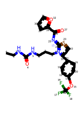 CCNC(=O)NCCCn1c(-c2ccc(OC(F)(F)F)cc2)cs/c1=N\C(=O)c1ccco1